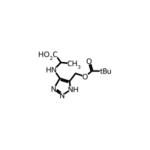 CC(Nc1nn[nH]c1COC(=O)C(C)(C)C)C(=O)O